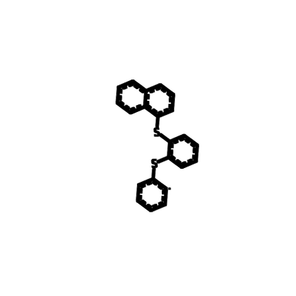 [c]1ccccc1Sc1ccccc1Sc1cccc2ccccc12